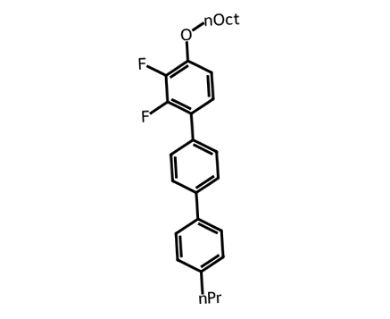 CCCCCCCCOc1ccc(-c2ccc(-c3ccc(CCC)cc3)cc2)c(F)c1F